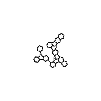 c1ccc(-n2c3ccccc3c3cc(-c4cccc5c6c7ccccc7cc7c8nc9c(cc8n(c45)c76)c4cccc5c6cc7ccccc7cc6n9c54)ccc32)cc1